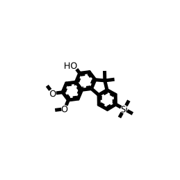 COc1cc2c(O)cc3c(c2cc1OC)-c1ccc([Si](C)(C)C)cc1C3(C)C